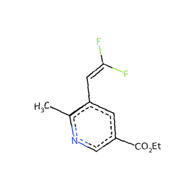 CCOC(=O)c1cnc(C)c(C=C(F)F)c1